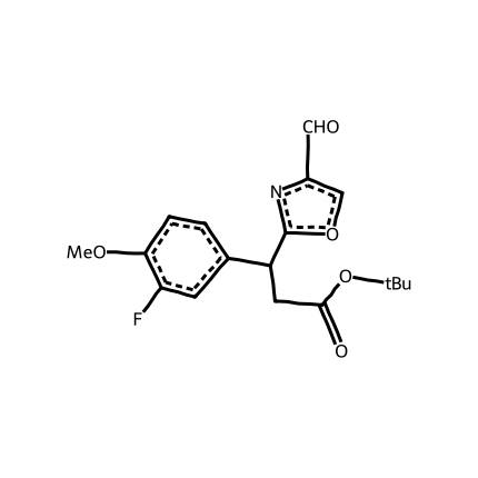 COc1ccc(C(CC(=O)OC(C)(C)C)c2nc(C=O)co2)cc1F